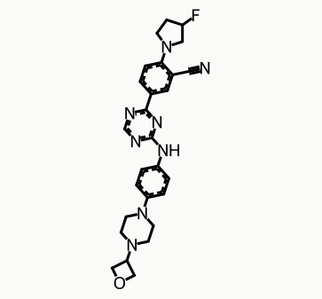 N#Cc1cc(-c2ncnc(Nc3ccc(N4CCN(C5COC5)CC4)cc3)n2)ccc1N1CCC(F)C1